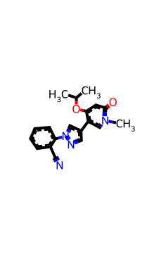 CC(C)Oc1cc(=O)n(C)cc1-c1cnn(-c2ccccc2C#N)c1